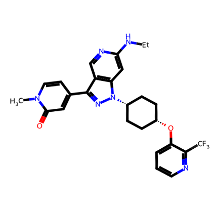 CCNc1cc2c(cn1)c(-c1ccn(C)c(=O)c1)nn2[C@H]1CC[C@@H](Oc2cccnc2C(F)(F)F)CC1